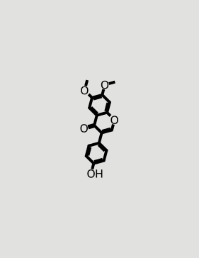 COc1cc2occ(-c3ccc(O)cc3)c(=O)c2cc1OC